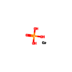 O=P(O)(O)O.[Cu]